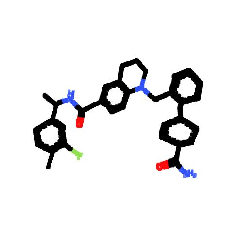 Cc1ccc(C(C)NC(=O)c2ccc3c(c2)CCCN3Cc2ccccc2-c2ccc(C(N)=O)cc2)cc1F